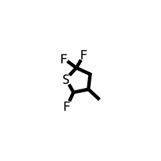 CC1CC(F)(F)SC1F